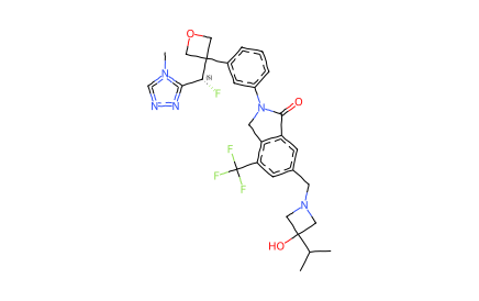 CC(C)C1(O)CN(Cc2cc3c(c(C(F)(F)F)c2)CN(c2cccc(C4([C@H](F)c5nncn5C)COC4)c2)C3=O)C1